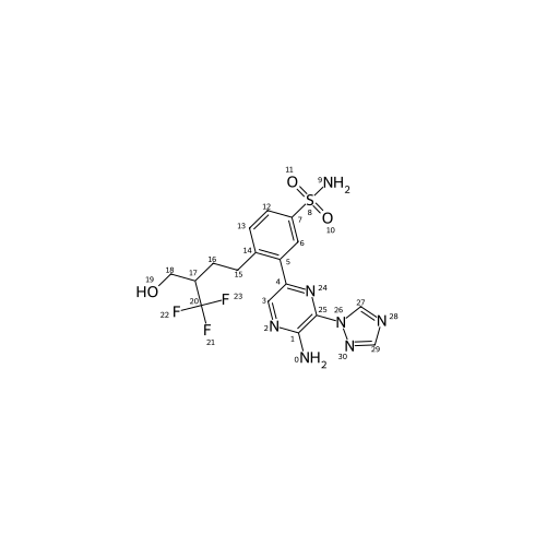 Nc1ncc(-c2cc(S(N)(=O)=O)ccc2CCC(CO)C(F)(F)F)nc1-n1cncn1